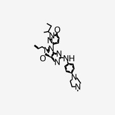 C=CCn1c(=O)c2cnc(Nc3ccc(N4CCN(C)CC4)cc3)nc2n1-c1ccc(=O)n(C(C)CC)n1